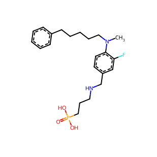 CN(CCCCCc1ccccc1)c1ccc(CNCCCP(=O)(O)O)cc1F